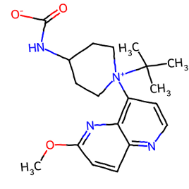 COc1ccc2nccc([N+]3(C(C)(C)C)CCC(NC(=O)[O-])CC3)c2n1